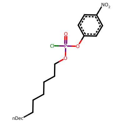 CCCCCCCCCCCCCCCCOP(=O)(Cl)Oc1ccc([N+](=O)[O-])cc1